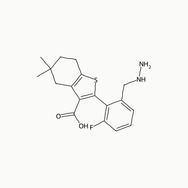 CC1(C)CCc2sc(-c3c(F)cccc3CNN)c(C(=O)O)c2C1